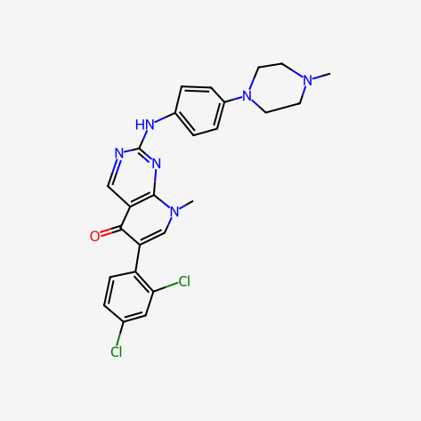 CN1CCN(c2ccc(Nc3ncc4c(=O)c(-c5ccc(Cl)cc5Cl)cn(C)c4n3)cc2)CC1